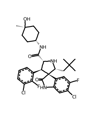 CC(C)(C)C[C@H]1N[C@@H](C(=O)N[C@H]2CC[C@](C)(O)CC2)[C@H](c2cccc(Cl)c2F)[C@@]12C(=O)Nc1cc(Cl)c(F)cc12